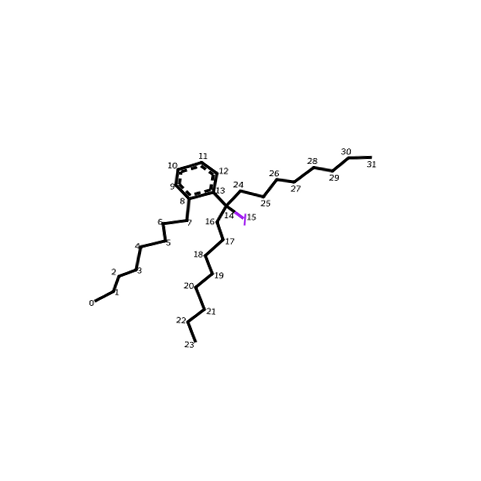 CCCCCCCCc1ccccc1C(I)(CCCCCCCC)CCCCCCCC